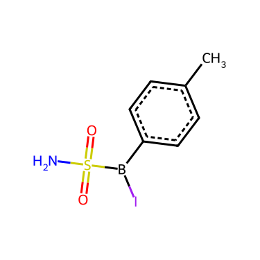 Cc1ccc(B(I)S(N)(=O)=O)cc1